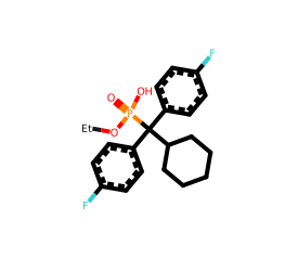 CCOP(=O)(O)C(c1ccc(F)cc1)(c1ccc(F)cc1)C1CCCCC1